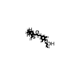 CCC(O)COc1c(C)cc(CCC(=O)c2sc(C)c3c2C[C@@H]2[C@H]3C2(C)C)cc1C